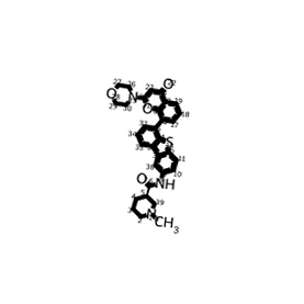 CN1CCC[C@@H](C(=O)Nc2ccc3sc4c(-c5cccc6c(=O)cc(N7CCOCC7)oc56)cccc4c3c2)C1